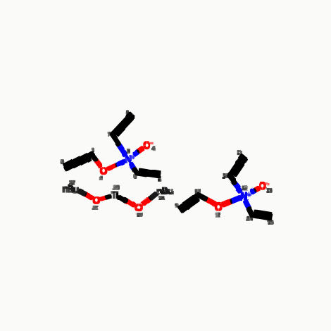 C=CO[N+]([O-])(C=C)C=C.C=CO[N+]([O-])(C=C)C=C.CCCC[O][Ti][O]CCCC